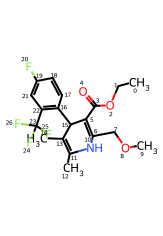 CCOC(=O)C1=C(COC)NC(C)=C(C)C1c1ccc(F)cc1C(F)(F)F